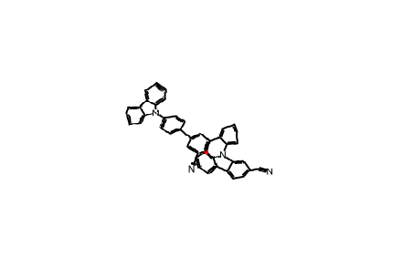 N#Cc1cc(-c2ccc(-n3c4ccccc4c4ccccc43)cc2)cc(-c2ccccc2-n2c3ccccc3c3ccc(C#N)cc32)c1